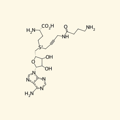 NCCCC(=O)NCC#CC[S+](CC[C@H](N)C(=O)O)C[C@H]1O[C@@H](n2cnc3c(N)ncnc32)C(O)C1O